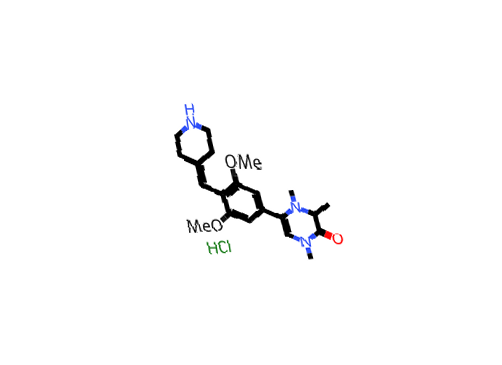 COc1cc(C2=CN(C)C(=O)C(C)N2C)cc(OC)c1C=C1CCNCC1.Cl